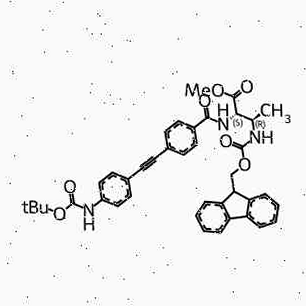 COC(=O)[C@@H](NC(=O)c1ccc(C#Cc2ccc(NC(=O)OC(C)(C)C)cc2)cc1)[C@@H](C)NC(=O)OCC1c2ccccc2-c2ccccc21